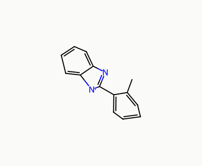 Cc1ccccc1C1=Nc2ccccc2[N]1